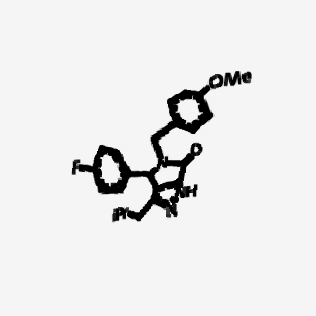 COc1ccc(CN2C(=O)c3[nH]nc(CC(C)C)c3C2c2ccc(F)cc2)cc1